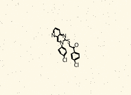 O=C(CSC1N=c2cccnc2=CN1c1ccc(Cl)cc1)c1ccc(Cl)cc1